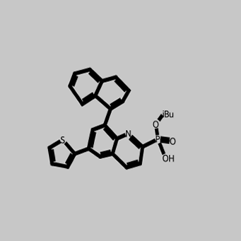 CCC(C)OP(=O)(O)c1ccc2cc(-c3cccs3)cc(-c3cccc4ccccc34)c2n1